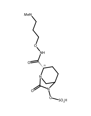 CNCCCONC(=O)[C@@H]1CCC2CN1C(=O)N2OS(=O)(=O)O